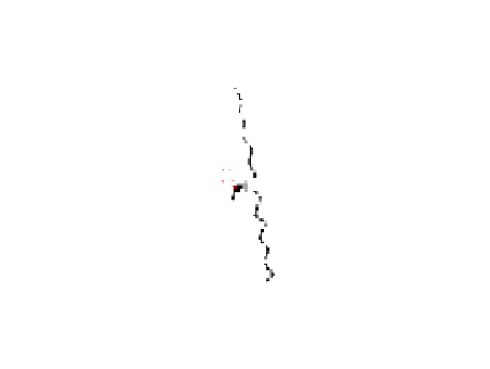 CCCCCCC[CH2][Sn]([CH2]CCCCCCC)[C](C)=O